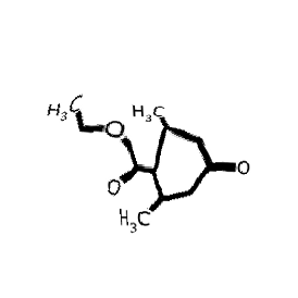 CCOC(=O)C1C(C)CC(=O)CC1C